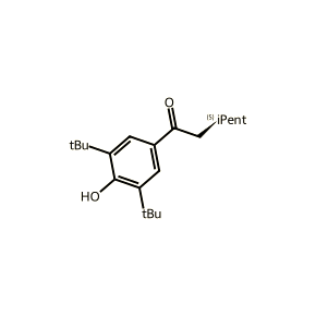 CCC[C@H](C)CC(=O)c1cc(C(C)(C)C)c(O)c(C(C)(C)C)c1